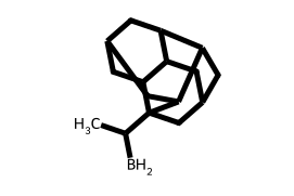 BC(C)C12CC3CC4C5CC(CC41)CC2C5C3